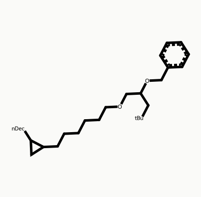 CCCCCCCCCCC1CC1CCCCCCOCC(CC(C)(C)C)OCc1ccccc1